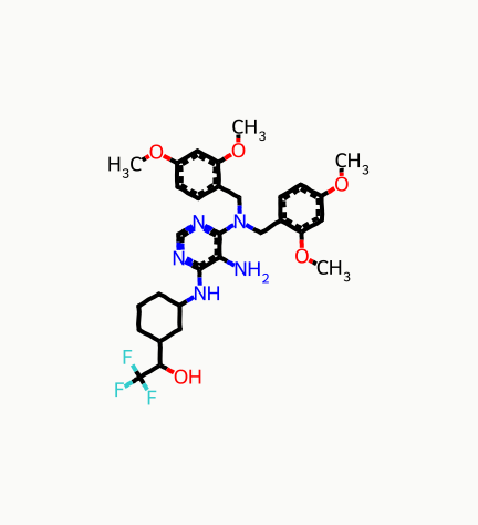 COc1ccc(CN(Cc2ccc(OC)cc2OC)c2ncnc(NC3CCCC(C(O)C(F)(F)F)C3)c2N)c(OC)c1